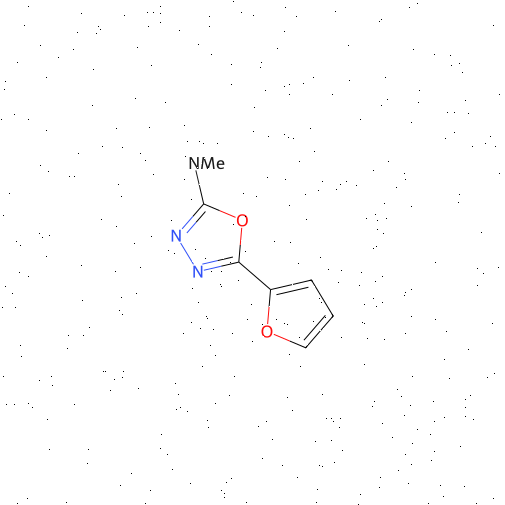 CNc1nnc(-c2ccco2)o1